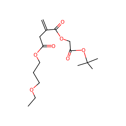 C=C(CC(=O)OCCCOCC)C(=O)OCC(=O)OC(C)(C)C